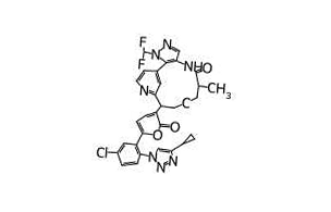 CC1CCCC(c2ccc(-c3cc(Cl)ccc3-n3cc(C4CC4)nn3)oc2=O)c2cc(ccn2)-c2c(cnn2C(F)F)NC1=O